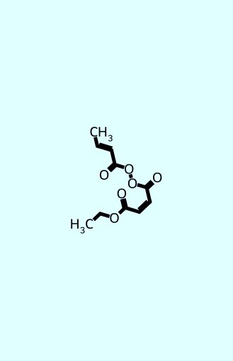 CC=CC(=O)OOC(=O)/C=C\C(=O)OCC